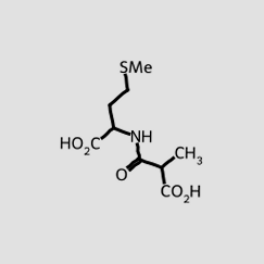 CSCCC(NC(=O)C(C)C(=O)O)C(=O)O